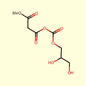 COC(=O)CC(=O)OC(=O)OCC(O)CO